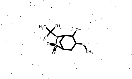 COC1CC2CC(C1O)N(C(C)(C)C)S2(=O)=O